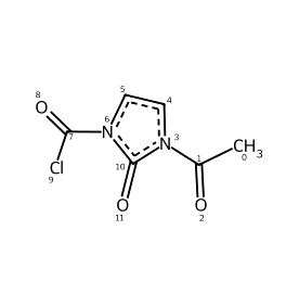 CC(=O)n1ccn(C(=O)Cl)c1=O